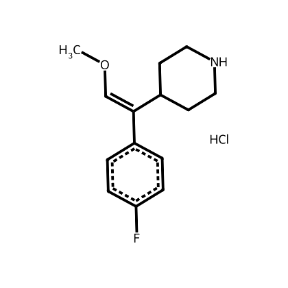 COC=C(c1ccc(F)cc1)C1CCNCC1.Cl